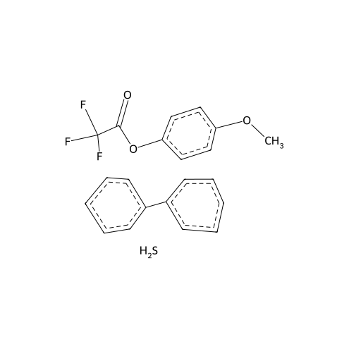 COc1ccc(OC(=O)C(F)(F)F)cc1.S.c1ccc(-c2ccccc2)cc1